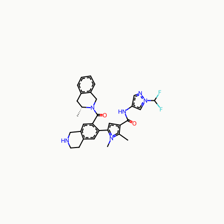 Cc1c(C(=O)Nc2cnn(C(F)F)c2)cc(-c2cc3c(cc2C(=O)N2Cc4ccccc4C[C@H]2C)CNCC3)n1C